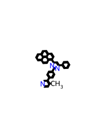 Cc1ccncc1-c1ccc(-c2nc(-c3ccccc3)cc(-c3ccc4ccc5cccc6ccc3c4c56)n2)cc1